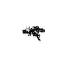 C=CCCC(=O)c1ccc(CC(NC(=O)[C@@H](NC(=O)OCc2ccccc2)C(C)C)C(=O)C(F)(F)C(=O)NCc2ccccc2)cc1